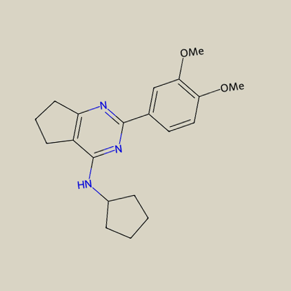 COc1ccc(-c2nc3c(c(NC4CCCC4)n2)CCC3)cc1OC